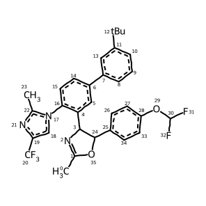 CC1=NC(c2cc(-c3cccc(C(C)(C)C)c3)ccc2-n2cc(C(F)(F)F)nc2C)C(c2ccc(OC(F)F)cc2)O1